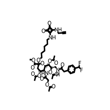 C#CCNc1c(NCCCCCCO[C@]2(C(=O)OC)C[C@H](OC(C)=O)[C@@H](NC(=O)COC(C)=O)[C@H]([C@H](OC(C)=O)[C@@H](CNC(=O)Cc3ccc(C(F)F)cc3)OC(C)=O)O2)c(=O)c1=O